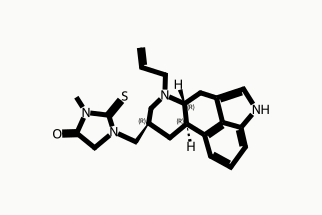 C=CCN1C[C@H](CN2CC(=O)N(C)C2=S)C[C@@H]2c3cccc4[nH]cc(c34)C[C@H]21